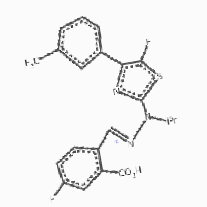 CC(C)N(/N=C/c1ccc(F)cc1C(=O)O)c1nc(-c2cccc(C(F)(F)F)c2)c(F)s1